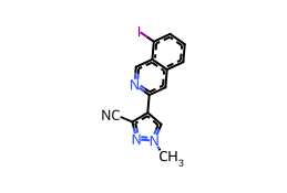 Cn1cc(-c2cc3cccc(I)c3cn2)c(C#N)n1